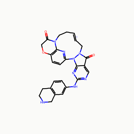 O=C1COc2ccc3nc2N1CC/C=C/Cn1c(=O)c2cnc(Nc4ccc5c(c4)CNCC5)nc2n1-3